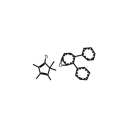 CC1=C(C)C(C)(C)[C]([Ti])=C1C.c1ccc(-c2ccc3c(c2-c2ccccc2)O3)cc1